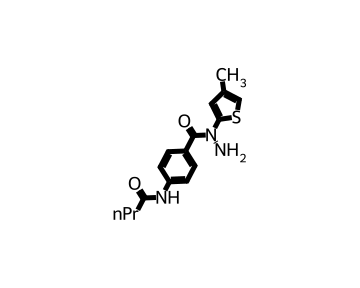 CCCC(=O)Nc1ccc(C(=O)N(N)c2cc(C)cs2)cc1